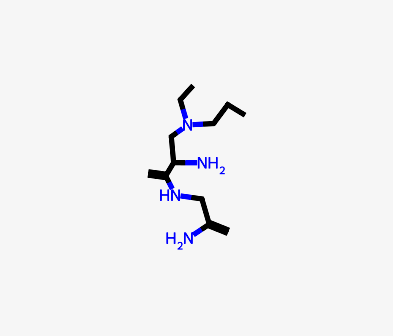 C=C(N)CNC(=C)C(N)CN(CC)CCC